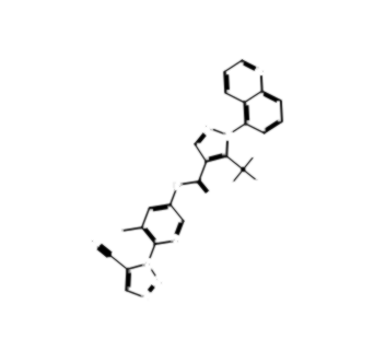 N#Cc1cnnn1-c1ncc(NC(=O)c2cnn(-c3cccc4ncccc34)c2C(F)(F)F)cc1Cl